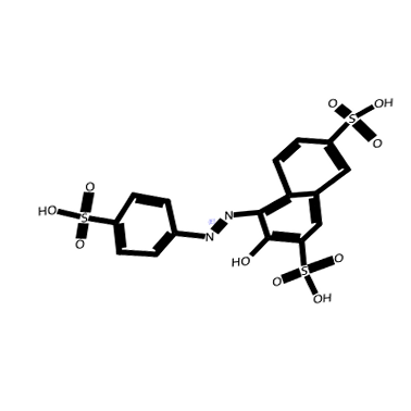 O=S(=O)(O)c1ccc(/N=N/c2c(O)c(S(=O)(=O)O)cc3cc(S(=O)(=O)O)ccc23)cc1